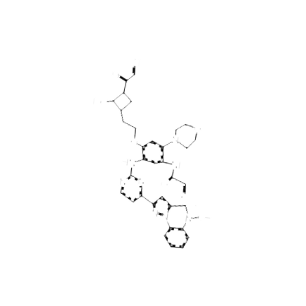 C=CC(=O)Nc1cc(Nc2nccc(-c3cc4n(n3)-c3ccccc3N(C)C4)n2)c(OCCC2CC(C(=O)C=C)C2C)cc1N1CCOCC1